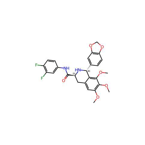 COc1cc2c(c(OC)c1OC)[C@@H](c1ccc3c(c1)OCO3)N[C@H](C(=O)Nc1ccc(F)c(F)c1)C2